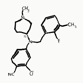 Cc1cccc(CN(c2ccc(C#N)c(Cl)c2)[C@H]2CCN(C)C2)c1F